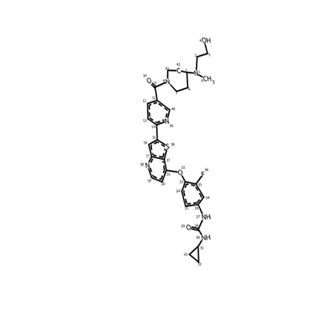 CN(CCO)C1CCN(C(=O)c2ccc(-c3cc4nccc(Oc5ccc(NC(=O)NC6CC6)cc5F)c4s3)nc2)CC1